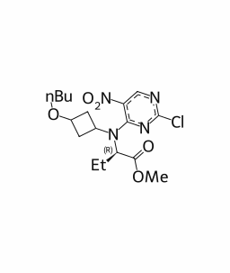 CCCCOC1CC(N(c2nc(Cl)ncc2[N+](=O)[O-])[C@H](CC)C(=O)OC)C1